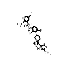 Cc1nnc(-c2ncn3c2CC[C@@H](c2c(F)ccc(NS(=O)(=O)c4cc(F)cnc4C)c2F)C3)[nH]1